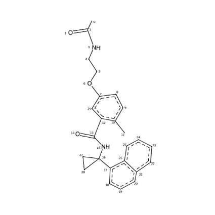 CC(=O)NCCOc1ccc(C)c(C(=O)NC2(c3cccc4ccccc34)CC2)c1